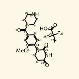 COc1cc(C(=O)N2CCNCC2)ccc1N1CCC(=O)NC1=O.O=C(O)C(F)(F)F